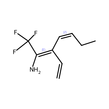 C=CC(/C=C\CC)=C(\N)C(F)(F)F